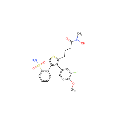 COc1ccc(-c2c(-c3ccccc3S(N)(=O)=O)csc2CCCC(=O)N(C)O)cc1F